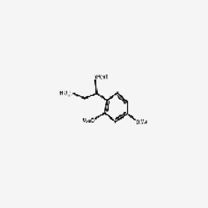 CCCCCC(CC(=O)O)c1ccc(OC)cc1OC